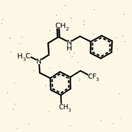 C=C(CCN(C)Cc1cc(C)cc(CC(F)(F)F)c1)NCc1ccccc1